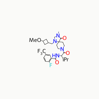 COC1CC(CN2CN(C)C(=O)C23CCN(C(=O)C(NC(=O)c2cc(C(F)(F)F)ccc2F)C(C)C)CC3)C1